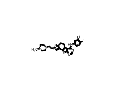 CN1CCN(CCn2cc3c(n2)CCc2c-3sc3ncnc(Nc4ccc(Cl)c(Cl)c4)c23)CC1